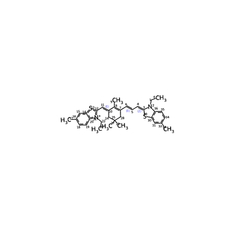 CCN1/C(=C/C=C/C2=C(C)C(=C/c3sc4cc(C)ccc4[n+]3CC)/CC(C)(C)C2)Sc2cc(C)ccc21